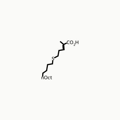 CCCCCCCCCCCCSCCC=C(C)C(=O)O